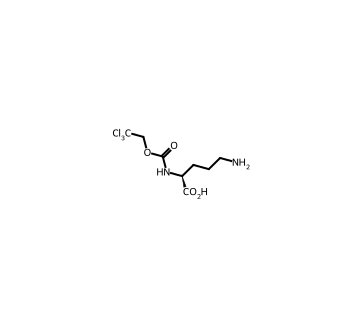 NCCC[C@H](NC(=O)OCC(Cl)(Cl)Cl)C(=O)O